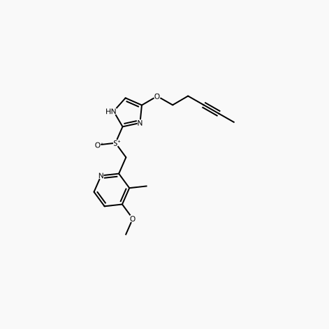 CC#CCCOc1c[nH]c([S+]([O-])Cc2nccc(OC)c2C)n1